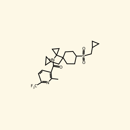 Cc1nc(C(F)(F)F)ccc1C(=O)NC1(C2(CC3CC3)CCC(S(=O)(=O)CC3CC3)CC2)CC1